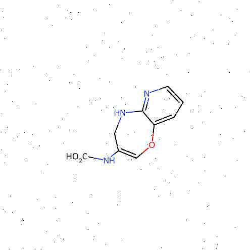 O=C(O)NC1=COc2cccnc2NC1